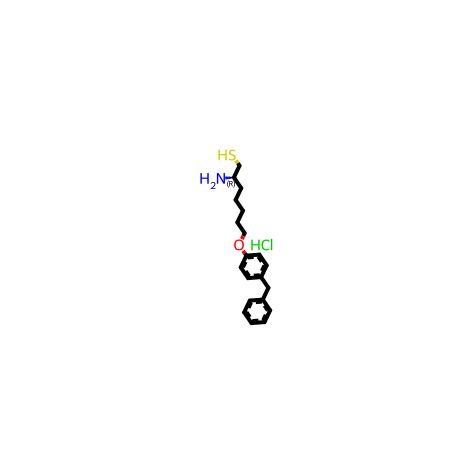 Cl.N[C@@H](CS)CCCCCOc1ccc(Cc2ccccc2)cc1